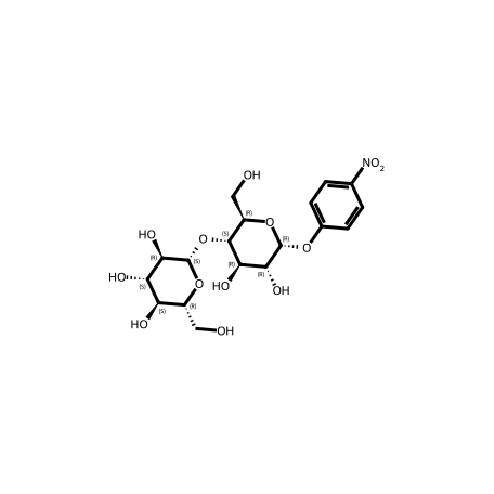 O=[N+]([O-])c1ccc(O[C@H]2O[C@H](CO)[C@@H](O[C@@H]3O[C@H](CO)[C@@H](O)[C@H](O)[C@H]3O)[C@H](O)[C@H]2O)cc1